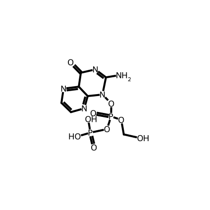 Nc1nc(=O)c2nccnc2n1OP(=O)(OCO)OP(=O)(O)O